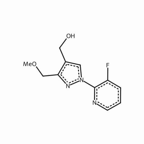 COCc1nn(-c2ncccc2F)cc1CO